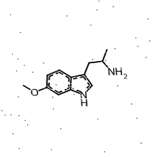 COc1ccc2c(CC(C)N)c[nH]c2c1